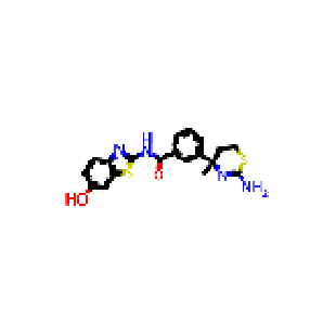 CC1(c2cccc(C(=O)Nc3nc4ccc(O)cc4s3)c2)CCSC(N)=N1